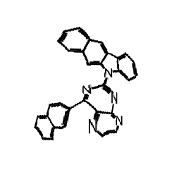 c1ccc2cc(-c3nc(-n4c5ccccc5c5cc6ccccc6cc54)nc4nccnc34)ccc2c1